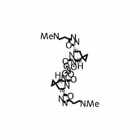 CNCCc1nnc([C@@H]2CC3(CC3)[C@@H]3CN2C(=O)N3OS(=O)(=O)ON2C(=O)N3C[C@H]2C2(CC2)C[C@H]3c2nnc(CCNC)o2)o1